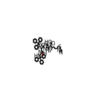 O=C(O)C1=C(/C=C/c2csc3cncn23)CS[C@@H]2[C@H](NC(=O)/C(=N\OC(c3ccccc3)(c3ccccc3)c3ccccc3)c3csc(NC(c4ccccc4)(c4ccccc4)c4ccccc4)n3)C(=O)N12